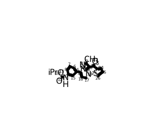 Cc1nn2c(-c3cccc(NC(=O)OC(C)C)c3)ccnc2c1C(=O)c1cccs1